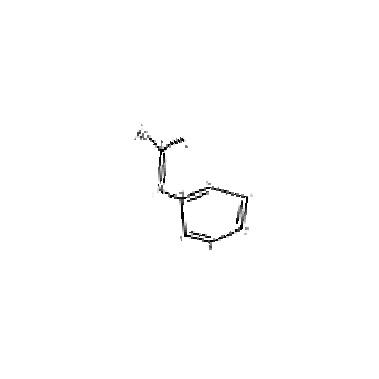 CC(=O)/C(C)=N/c1ccccc1